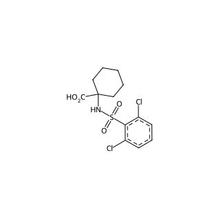 O=C(O)C1(NS(=O)(=O)c2c(Cl)cccc2Cl)CCCCC1